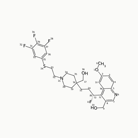 COc1ccc2ncc(CO)c([C@H](F)CCC3(CO)CCN(CCSc4cc(F)c(F)c(F)c4)CC3)c2c1